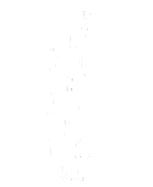 CCCCCC1CCC(C2CCC(c3ccc(COCC)cc3)CC2)CC1(F)F